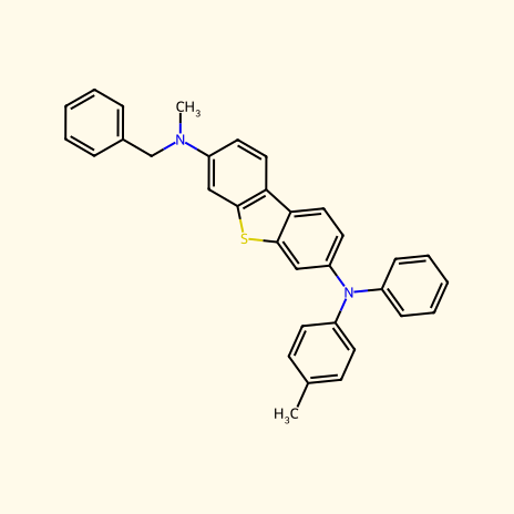 Cc1ccc(N(c2ccccc2)c2ccc3c(c2)sc2cc(N(C)Cc4ccccc4)ccc23)cc1